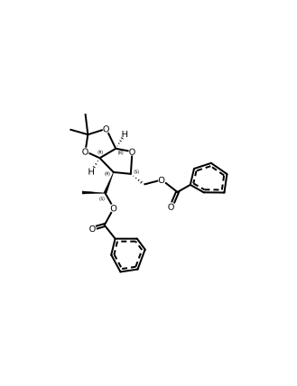 C[C@H](OC(=O)c1ccccc1)[C@H]1[C@H]2OC(C)(C)O[C@H]2O[C@@H]1COC(=O)c1ccccc1